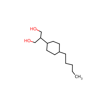 CCCCCC1CCC(C(CO)CO)CC1